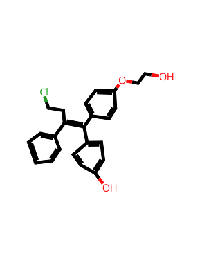 OCCOc1ccc(/C(=C(\CCCl)c2ccccc2)c2ccc(O)cc2)cc1